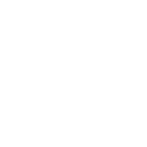 CC(=O)NCCN(CCO)CC(=O)O